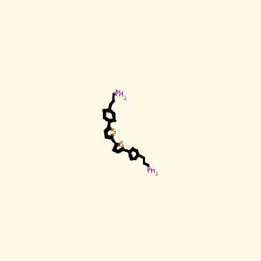 PCCCc1ccc(-c2ccc(-c3ccc(-c4ccc(CCCP)cc4)s3)s2)cc1